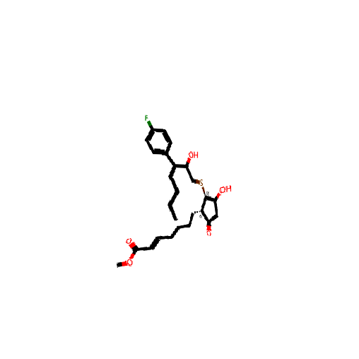 CCCCC(c1ccc(F)cc1)C(O)CS[C@H]1C(O)CC(=O)[C@@H]1CCCCC=CC(=O)OC